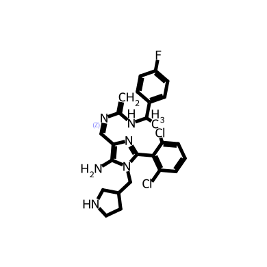 C=C(/N=C\c1nc(-c2c(Cl)cccc2Cl)n(CC2CCNC2)c1N)NC(C)c1ccc(F)cc1